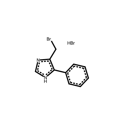 Br.BrCc1nc[nH]c1-c1ccccc1